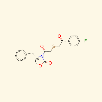 O=C(CSCC(=O)N1C(=O)OC[C@@H]1Cc1ccccc1)c1ccc(F)cc1